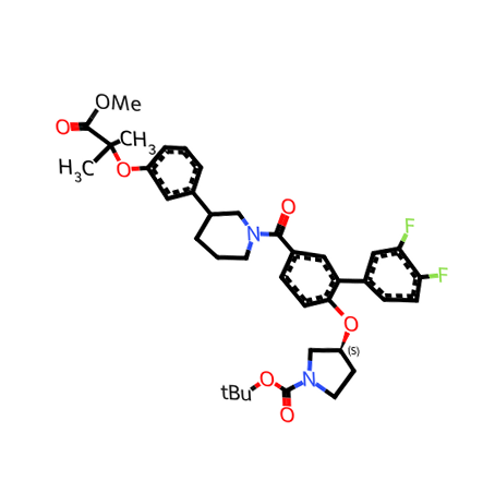 COC(=O)C(C)(C)Oc1cccc(C2CCCN(C(=O)c3ccc(O[C@H]4CCN(C(=O)OC(C)(C)C)C4)c(-c4ccc(F)c(F)c4)c3)C2)c1